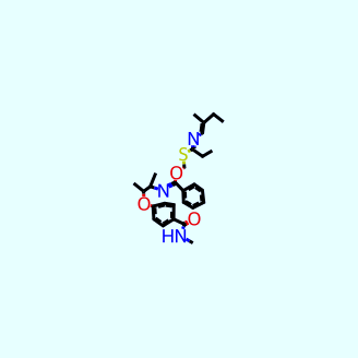 CC/C(C)=C/N=C(\CC)SCO/C(=N\C(C)C(C)Oc1ccc(C(=O)NC)cc1)c1ccccc1